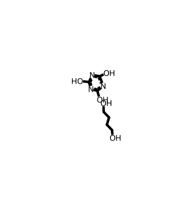 OCCCCO.Oc1nc(O)nc(O)n1